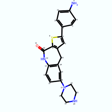 Nc1ccc(-c2cc3c(s2)C(=O)Nc2ccc(N4CCNCC4)cc2C3)cc1